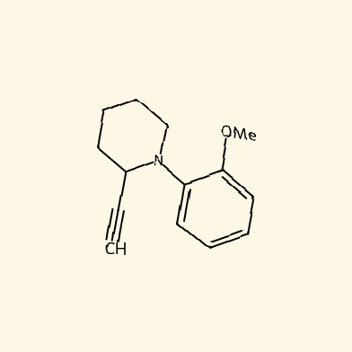 C#CC1CCCCN1c1ccccc1OC